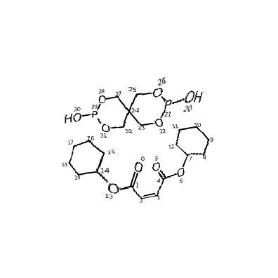 O=C(/C=C\C(=O)OC1CCCCC1)OC1CCCCC1.OP1OCC2(CO1)COP(O)OC2